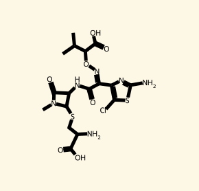 CC(C)C(O/N=C(\C(=O)NC1C(=O)N(C)C1SCC(N)C(=O)O)c1nc(N)sc1Cl)C(=O)O